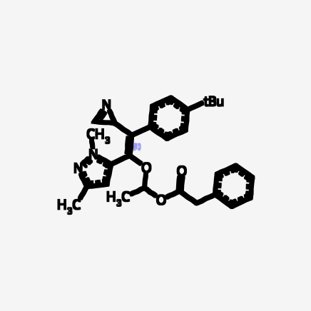 Cc1cc(/C(OC(C)OC(=O)Cc2ccccc2)=C(/c2ccc(C(C)(C)C)cc2)C2C=N2)n(C)n1